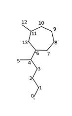 [CH2]CCCC(C)[C]1CCCCC(C)C1